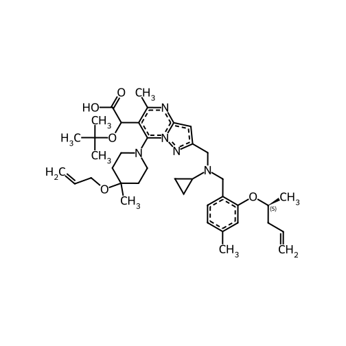 C=CCOC1(C)CCN(c2c(C(OC(C)(C)C)C(=O)O)c(C)nc3cc(CN(Cc4ccc(C)cc4O[C@@H](C)CC=C)C4CC4)nn23)CC1